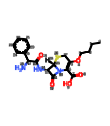 CCCCOC1=C(C(=O)O)N2C(=O)[C@@H](NC(=O)[C@@H](N)c3ccccc3)[C@@H]2SC1